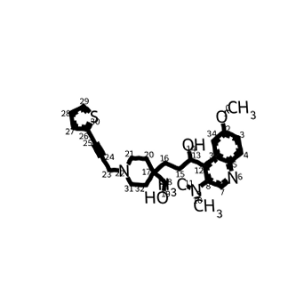 COc1ccc2ncc(N(C)C)c(C(O)CCC3(CO)CCN(CC#Cc4cccs4)CC3)c2c1